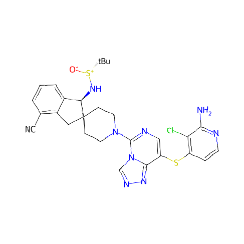 CC(C)(C)[S@@+]([O-])N[C@@H]1c2cccc(C#N)c2CC12CCN(c1ncc(Sc3ccnc(N)c3Cl)c3nncn13)CC2